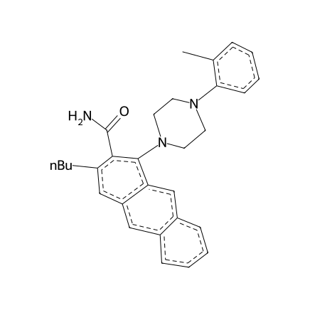 CCCCc1cc2cc3ccccc3cc2c(N2CCN(c3ccccc3C)CC2)c1C(N)=O